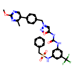 COc1ncc(-c2ccc(C[n+]3cc([N-]C(=O)Nc4cc(NS(=O)(=O)Cc5ccccc5)cc(C(F)(F)F)c4)on3)cc2)c(C)n1